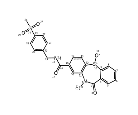 CCN1C(=O)c2ccccc2[S+]([O-])c2ccc(C(=O)NCc3ccc(S(C)(=O)=O)cc3)cc21